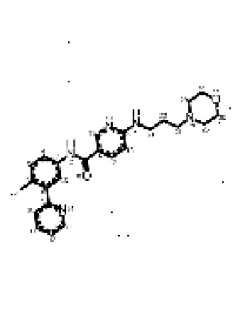 O=C(Nc1ccc(I)c(-c2ccccn2)c1)c1ccc(NCCCN2CCOCC2)nc1